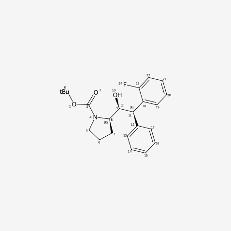 CC(C)(C)OC(=O)N1CCC[C@@H]1[C@@H](O)[C@H](c1ccccc1)c1ccccc1F